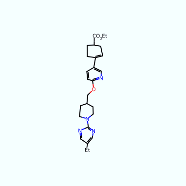 CCOC(=O)C1CC=C(c2ccc(OCC3CCN(c4ncc(CC)cn4)CC3)nc2)CC1